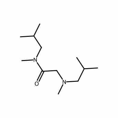 CC(C)CN(C)CC(=O)N(C)CC(C)C